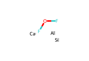 FOF.[Al].[Ca].[Si]